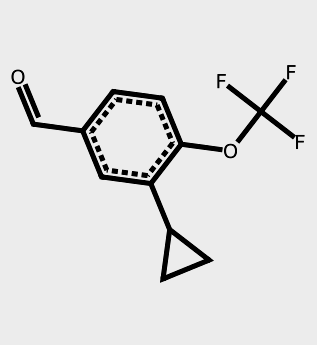 O=Cc1ccc(OC(F)(F)F)c(C2CC2)c1